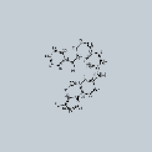 COc1cc(Nc2ncc3c(n2)N(C(C)c2ccccc2)CCO3)ccc1-n1cnc(C)c1